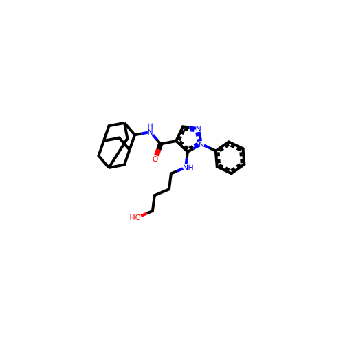 O=C(NC1C2CC3CC(C2)CC1C3)c1cnn(-c2ccccc2)c1NCCCCO